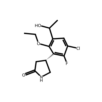 CCOc1c(C(C)O)cc(Cl)c(F)c1[C@@H]1CNC(=O)C1